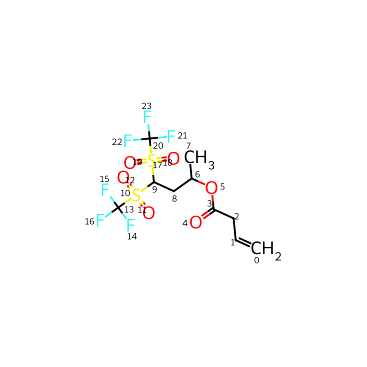 C=CCC(=O)OC(C)CC(S(=O)(=O)C(F)(F)F)S(=O)(=O)C(F)(F)F